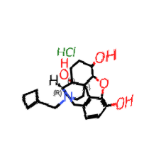 Cl.Oc1ccc2c3c1OC1C(O)CC[C@@]4(O)[C@@H](C2)N(CC2CCC2)CC[C@]314